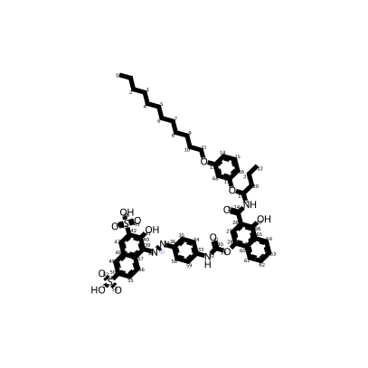 CCCCCCCCCCCCOc1cccc(OC(CCC)NC(=O)c2cc(OC(=O)Nc3ccc(/N=N/c4c(O)c(S(=O)(=O)O)cc5cc(S(=O)(=O)O)ccc45)cc3)c3ccccc3c2O)c1